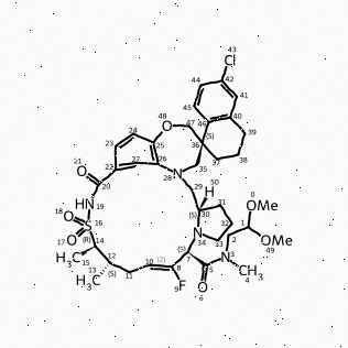 COC(CN(C)C(=O)[C@H]1/C(F)=C/C[C@H](C)[C@@H](C)S(=O)(=O)NC(=O)c2ccc3c(c2)N(C[C@@H]2CCCN21)C[C@@]1(CCCc2cc(Cl)ccc21)CO3)OC